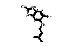 CC(C)=CCOc1cc2sc(Cl)nc2cc1F